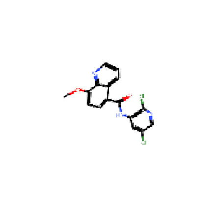 COc1ccc(C(=O)Nc2cc(Cl)cnc2Cl)c2cccnc12